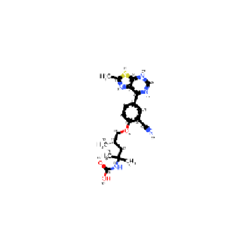 Cc1nc2c(-c3ccc(OC[C@@H](C)CC(C)(C)NC(=O)O)c(C#N)c3)ncnc2s1